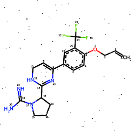 C=CCOc1ccc(C2=CCNC(C3CCCN3C(=N)N)=N2)cc1C(F)(F)F